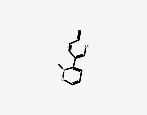 C=C/C=C\C(=C/CC)C1=CC=CON1C